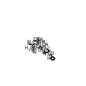 CO[C@@H]1[C@H](OP(OCCC#N)N(C(C)C)C(C)C)[C@@H](CNS(C)(=O)=O)O[C@H]1n1cnc2c(NC(=O)c3ccccc3)ncnc21